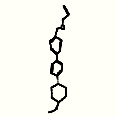 C=CCOCc1ccc(-c2ccc([C@H]3CC[C@H](CC)CC3)cc2)cc1